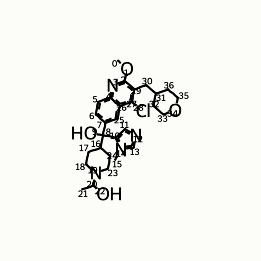 COc1nc2ccc(C(O)(c3cncn3C)C3CCN(C(C)O)CC3)cc2c(Cl)c1CC1CCOCC1